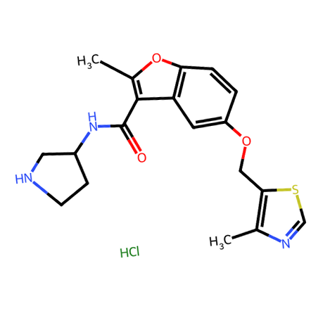 Cc1ncsc1COc1ccc2oc(C)c(C(=O)NC3CCNC3)c2c1.Cl